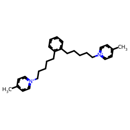 Cc1cc[n+](CCCCCc2ccccc2CCCCC[n+]2ccc(C)cc2)cc1